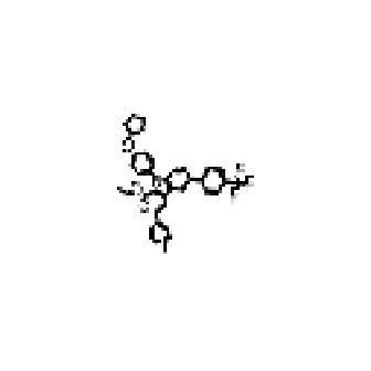 CCOC(=O)c1c(/C=C/c2ccncc2)c2cc(-c3ccc(C(F)(F)F)cc3)ccc2n1-c1ccc(OC2CCCC2)cc1